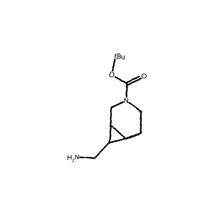 CC(C)(C)OC(=O)N1CCC2C(CN)C2C1